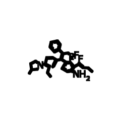 C/C=C(\C=C/C(=C/CC)N1CCC(C)C1)C(=C(/CP(F)F)c1ccccc1)/c1ccc(N)c(/C(F)=C/CC)c1